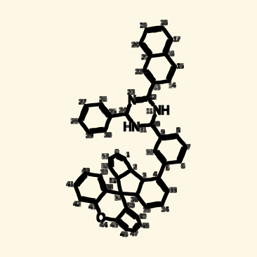 C1=CC2C3C(c4cccc(C5NC(c6ccc7ccccc7c6)=NC(c6ccccc6)N5)c4)=CC=CC3C3(c4ccccc4Oc4ccccc43)C2C=C1